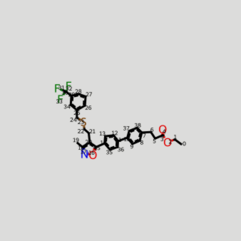 CCOC(=O)CCc1ccc(-c2ccc(-c3onc(C)c3CCSCc3cccc(C(F)(F)F)c3)cc2)cc1